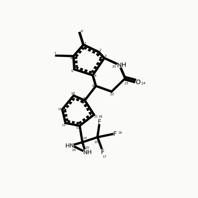 Cc1cc2c(cc1C)C(c1cccc(C3(C(F)(F)F)NN3)c1)CC(=O)N2